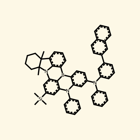 CC12CCCCC1(C)N1c3cc([Si](C)(C)C)cc4c3B(c3ccc(N(c5ccccc5)c5cccc(-c6ccc7ccccc7c6)c5)cc3N4c3ccccc3)c3cccc2c31